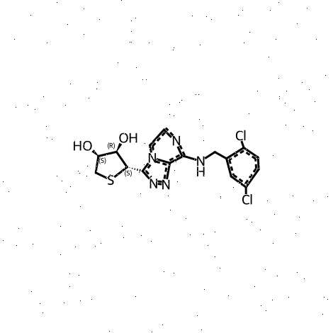 O[C@@H]1[C@H](O)CS[C@H]1c1nnc2c(NCc3cc(Cl)ccc3Cl)nccn12